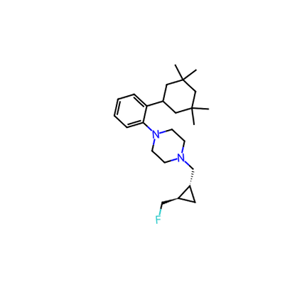 CC1(C)CC(c2ccccc2N2CCN(C[C@@H]3C[C@H]3CF)CC2)CC(C)(C)C1